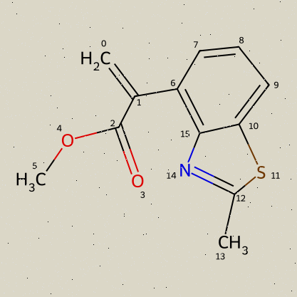 C=C(C(=O)OC)c1cccc2sc(C)nc12